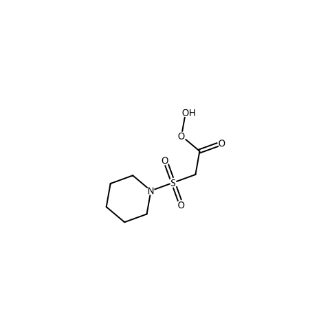 O=C(CS(=O)(=O)N1CCCCC1)OO